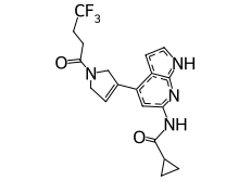 O=C(Nc1cc(C2=CCN(C(=O)CCC(F)(F)F)C2)c2cc[nH]c2n1)C1CC1